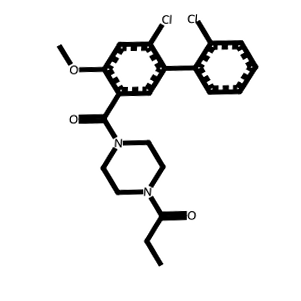 CCC(=O)N1CCN(C(=O)c2cc(-c3ccccc3Cl)c(Cl)cc2OC)CC1